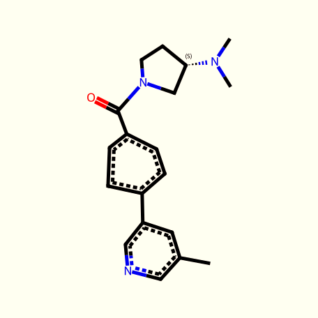 Cc1cncc(-c2ccc(C(=O)N3CC[C@H](N(C)C)C3)cc2)c1